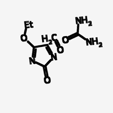 C=O.CCOC1=NC(=O)N=C1.NC(N)=O